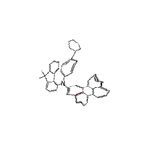 CC1(C)c2ccccc2-c2c(N(c3ccc(C4CCCCC4)cc3)c3cccc(-c4cccc5cccc(-c6ccccc6)c45)c3)cccc21